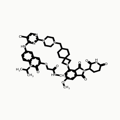 CNC(=O)COc1cc2cc(Nc3nc(N4CCN(CC5CCC6(CC5)CN(c5cc(OC)cc7c5C(=O)N(C5CCC(=O)NC5=O)C7=O)C6)CC4)ncc3Cl)ccc2n(C(C)C)c1=O